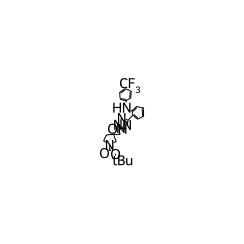 CC(C)(C)OC(=O)N1CCC(O)(Cn2nnc(-c3ccccc3Nc3ccc(C(F)(F)F)cc3)n2)C1